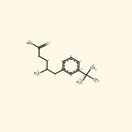 CC(CCC(=O)O)Cc1cccc(C(C)(C)C)c1